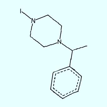 CC(c1ccccc1)N1CCN(I)CC1